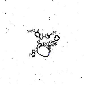 COc1ccc2c(O[C@@H]3C[C@H]4C(=O)N[C@]5(C(=O)NS(=O)(=O)c6ccccc6)C[C@H]5/C=C\CCCCC[C@H](Nc5cccc(F)c5)C(=O)N4C3)cc(-c3nc(C(C)C)cs3)nc2c1C